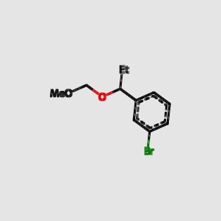 [CH2]CC(OCOC)c1cccc(Br)c1